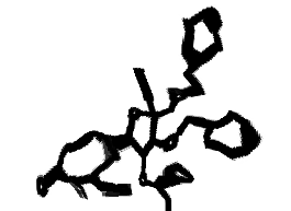 C#CC1(COCc2ccccc2)OC(n2ccc(=O)[nH]c2=S)C(OC(C)=O)C1OCc1ccccc1